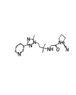 Cc1nc(-c2cccnc2)nn1CCC(C)(C)NCC(=O)N1CCC[C@H]1C#N